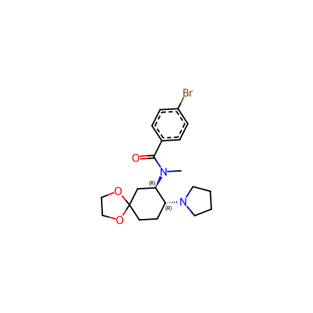 CN(C(=O)c1ccc(Br)cc1)[C@@H]1CC2(CC[C@H]1N1CCCC1)OCCO2